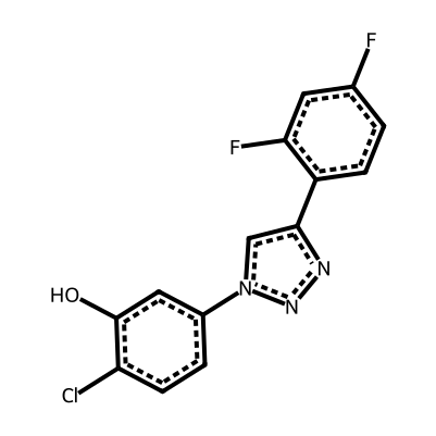 Oc1cc(-n2cc(-c3ccc(F)cc3F)nn2)ccc1Cl